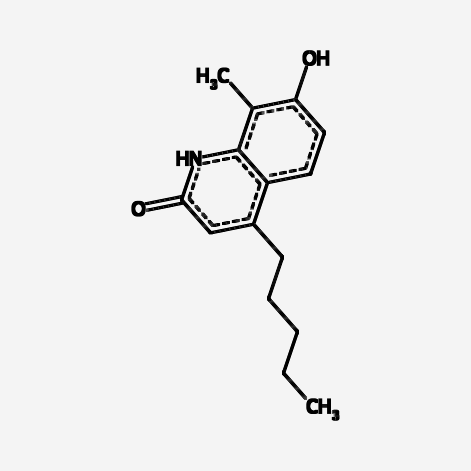 CCCCCc1cc(=O)[nH]c2c(C)c(O)ccc12